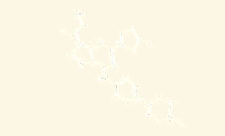 CC1CCN(c2nc(Nc3ccc(N4CCN(C)CC4)cc3)c3ncn(C(C)CO)c3n2)C1